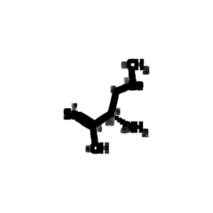 C[Se]C[C@H](N)C(O)=[Se]